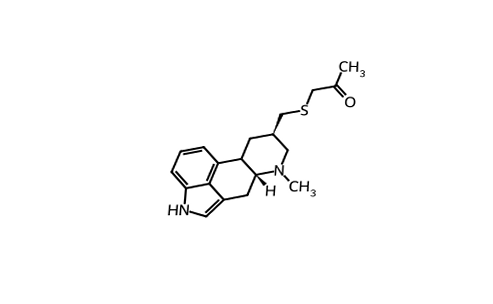 CC(=O)CSC[C@@H]1CC2c3cccc4[nH]cc(c34)C[C@H]2N(C)C1